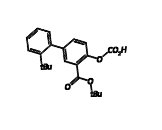 CC(C)(C)OC(=O)c1cc(-c2ccccc2C(C)(C)C)ccc1OC(=O)O